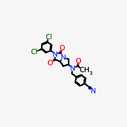 CC(=O)N(Cc1ccc(C#N)cc1)C1CC2C(=O)N(c3cc(Cl)cc(Cl)c3)C(=O)N2C1